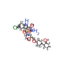 COc1ccccc1-c1ccc(OC[C@@H]2CN(S(=O)(=O)c3c(C(N)=O)[nH]c4ccc(Cl)cc34)CCO2)cc1